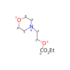 CCOC(=O)OCCN1CCOCC1